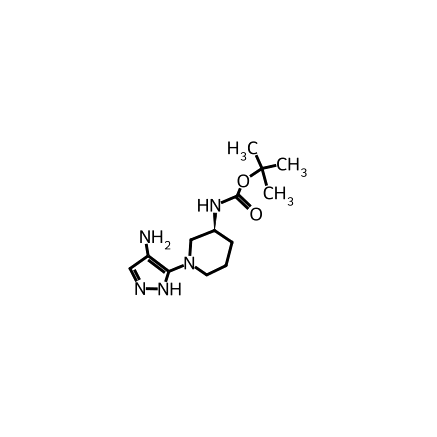 CC(C)(C)OC(=O)N[C@H]1CCCN(c2[nH]ncc2N)C1